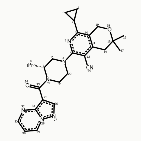 CC(C)[C@@H]1CN(c2nc(C3CC3)c3c(c2C#N)CC(C)(C)OC3)CCN1C(=O)c1cnn2cccnc12